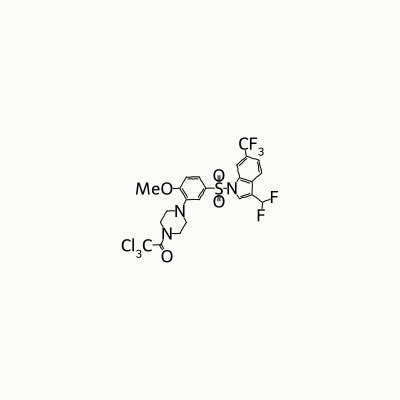 COc1ccc(S(=O)(=O)n2cc(C(F)F)c3ccc(C(F)(F)F)cc32)cc1N1CCN(C(=O)C(Cl)(Cl)Cl)CC1